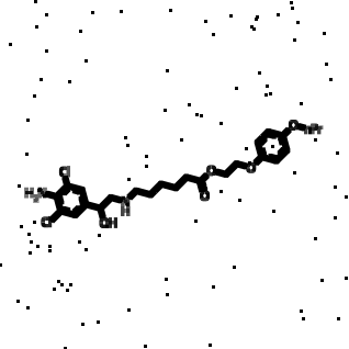 CCCOc1ccc(OCCOC(=O)CCCCCNCC(O)c2cc(Cl)c(N)c(Cl)c2)cc1